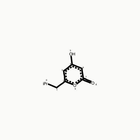 CC(C)Cc1cc(O)cc(=O)o1